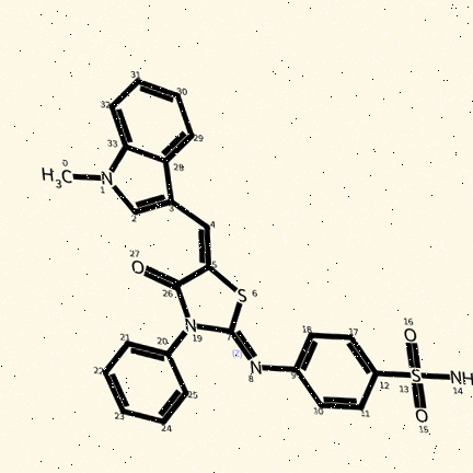 Cn1cc(C=C2S/C(=N\c3ccc(S(N)(=O)=O)cc3)N(c3ccccc3)C2=O)c2ccccc21